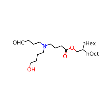 CCCCCCCCC(CCCCCC)COC(=O)CCCN(CCCC=O)CCCCO